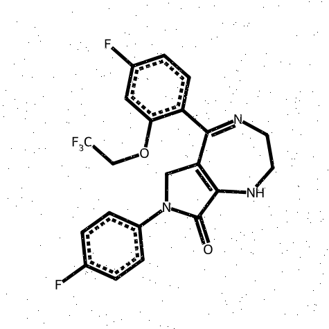 O=C1C2=C(CN1c1ccc(F)cc1)C(c1ccc(F)cc1OCC(F)(F)F)=NCCN2